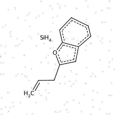 C=CCc1cc2ccccc2o1.[SiH4]